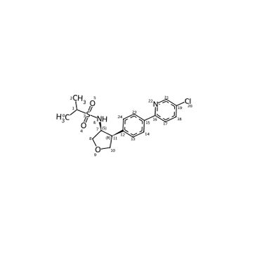 CC(C)S(=O)(=O)N[C@@H]1COC[C@@H]1c1ccc(-c2ccc(Cl)cn2)cc1